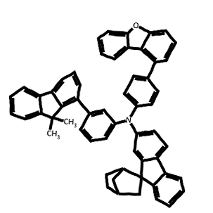 CC1(C)c2ccccc2-c2cccc(-c3cccc(N(c4ccc(-c5cccc6oc7ccccc7c56)cc4)c4ccc5c(c4)C4(CC6CCC4C6)c4ccccc4-5)c3)c21